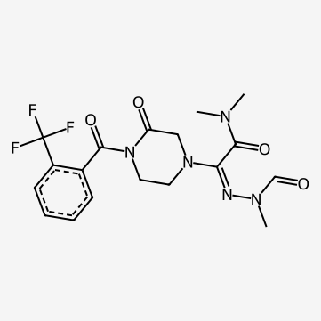 CN(C=O)/N=C(\C(=O)N(C)C)N1CCN(C(=O)c2ccccc2C(F)(F)F)C(=O)C1